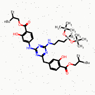 CCCCC(CC)COC(=O)c1ccc(Cc2nc(NCCC[Si](C)(O[Si](C)(C)C)O[Si](C)(C)C)nc(Nc3ccc(C(=O)OCC(CC)CCCC)c(O)c3)n2)cc1O